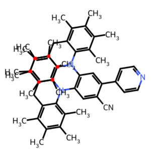 Cc1c(C)c(C)c2c(c1C)Cc1c(C)c(C)c(C)c(C)c1N2c1cc(C#N)c(-c2ccncc2)cc1N1c2c(C)c(C)c(C)c(C)c2Cc2c(C)c(C)c(C)c(C)c21